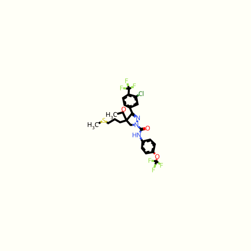 CSCCCC1(C(C)=O)CN(C(=O)Nc2ccc(OC(F)(F)F)cc2)N=C1c1ccc(C(F)(F)F)c(Cl)c1